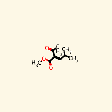 COC(=O)C(=CC(C)C)C(C)=O